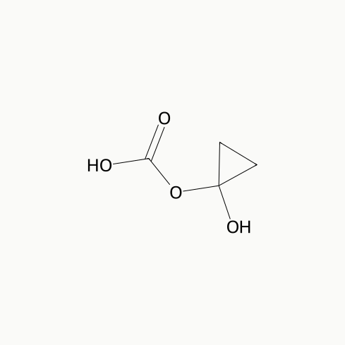 O=C(O)OC1(O)CC1